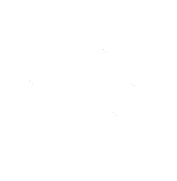 C[C@H](NCc1ccc([N+](=O)[O-])cc1)C(=O)N[C@@H](C)C(=O)N[C@@H](CC(N)=O)C(=O)O